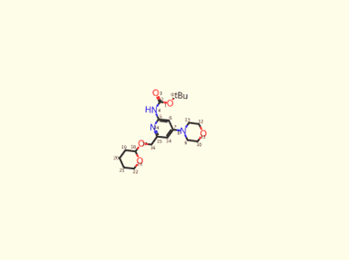 CC(C)(C)OC(=O)Nc1cc(N2CCOCC2)cc(COC2CCCCO2)n1